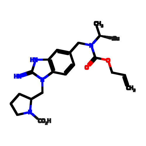 C=CCOC(=O)N(Cc1ccc2c(c1)[nH]c(=N)n2CC1CCCN1C(=O)O)[C@@H](C)C(C)(C)C